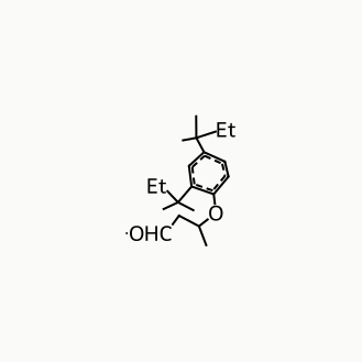 CCC(C)(C)c1ccc(OC(C)C[C]=O)c(C(C)(C)CC)c1